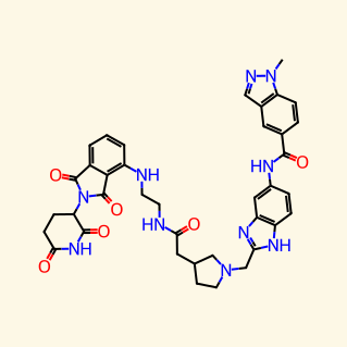 Cn1ncc2cc(C(=O)Nc3ccc4[nH]c(CN5CCC(CC(=O)NCCNc6cccc7c6C(=O)N(C6CCC(=O)NC6=O)C7=O)C5)nc4c3)ccc21